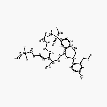 CCCc1cc(Cl)ccc1C1COc2ccc(S(=O)(=NC)NC)cc2N(CCC(CC)C(/C=C/COC(C)(C)C=O)OCCN(C)C)C1